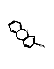 Nc1ccc2c(c1)Oc1ccccc1C2